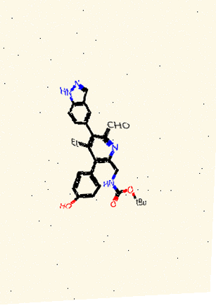 CCc1c(-c2ccc3[nH]ncc3c2)c(C=O)nc(CNC(=O)OC(C)(C)C)c1-c1ccc(O)cc1